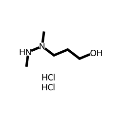 CNN(C)CCCO.Cl.Cl